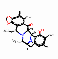 COc1c(C)cc2c(c1O)[C@H]1[C@H]3C(=O)c4c(OC(C)=O)c(C)c5c(c4[C@H](COC(C)=O)N3[C@@H](C#N)[C@H](C2)N1C)OCO5